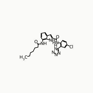 CCCCCCC(=O)Nc1cccc2cc(C(=O)Nc3ccc(Cl)cc3-c3nnn[nH]3)[nH]c12